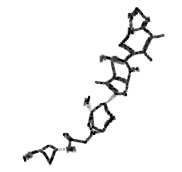 Cc1c(-c2[nH]c3sc([C@@H]4CC5C[C@H]4CN5CC(=O)N[C@H]4C[C@H](O)C4)c(C)c3c2C(C)C)cn2ncnc2c1C